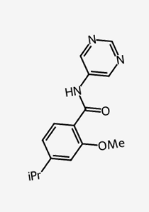 COc1cc(C(C)C)ccc1C(=O)Nc1cncnc1